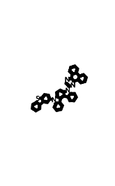 c1ccc2c(c1)sc1ccc(-n3c4ccccc4c4c5c6ccccc6n(-c6cnc7c8ccccc8c8ccccc8c7n6)c5ccc43)cc12